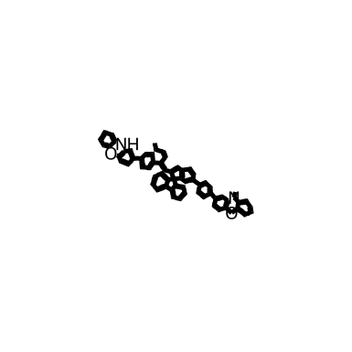 CC/C=C\C(=C/C1=Cc2ccc(-c3ccc(-c4ccc5c(c4)N(C)c4ccccc4O5)cc3)cc2C12c1ccccc1-c1ccccc12)c1ccc(-c2ccc3c(c2)Nc2ccccc2O3)cc1